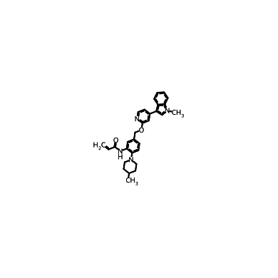 C=CC(=O)Nc1cc(COc2cc(-c3cn(C)c4ccccc34)ccn2)ccc1N1CCC(C)CC1